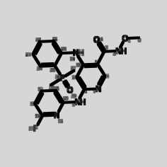 CONC(=O)c1cnc(Nc2cccc(F)n2)cc1Nc1ccccc1P(C)(C)=O